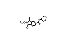 CC(=O)ON1C(=O)c2ccc(C(=O)OC3CCCCC3)cc2C1=O